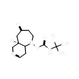 CC(C)(C)NC(=O)ON1CCC(=O)C[C@H]2CN=CCC21